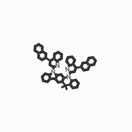 CC1(C)c2ccccc2N(c2cc(-c3ccc4ccccc4c3)c3ccccc3n2)c2cc3c(cc21)c1ccccc1n3-c1cc(-c2ccc3ccccc3c2)c2ccccc2n1